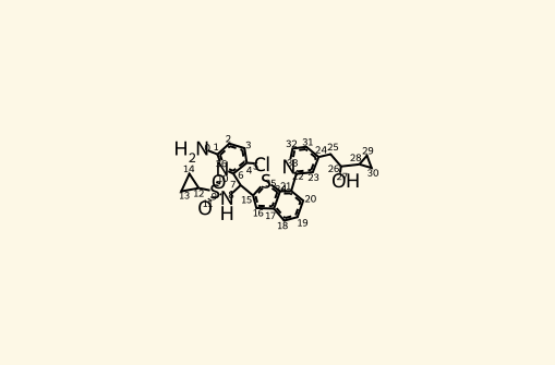 Nc1ccc(Cl)c(C(NS(=O)(=O)C2CC2)c2cc3cccc(-c4cc(CC(O)C5CC5)ccn4)c3s2)n1